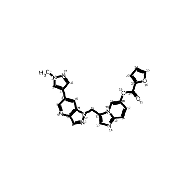 Cn1cc(-c2cnc3cnn(Cc4cnc5ccc(OC(=O)c6ccco6)cn45)c3c2)cn1